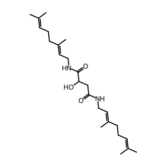 CC(C)=CCC/C(C)=C/CNC(=O)CC(O)C(=O)NC/C=C(\C)CCC=C(C)C